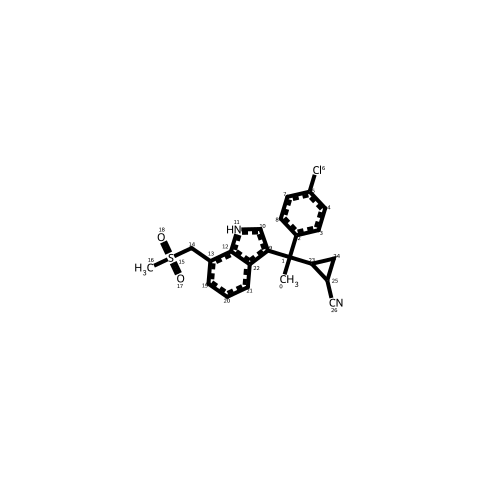 CC(c1ccc(Cl)cc1)(c1c[nH]c2c(CS(C)(=O)=O)cccc12)C1CC1C#N